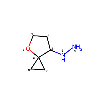 NNC1CCOC12CC2